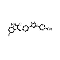 N#Cc1ccc(-n2cc(-c3ccc(C=C4C(=O)Nc5ccc(F)cc54)cc3)nn2)cc1